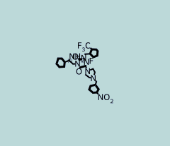 N[C@H](Cn1c(=O)c(N2CCN(Cc3cccc([N+](=O)[O-])c3)CC2)nn(Cc2c(F)cccc2C(F)(F)F)c1=O)c1ccccc1